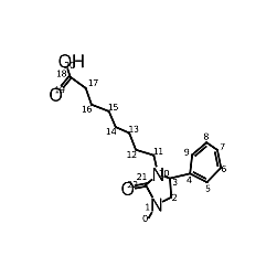 CN1CC(c2ccccc2)N(CCCCCCCC(=O)O)C1=O